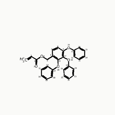 C=CC(=O)OCc1ccc(Oc2ccccc2)c(Oc2ccccc2)c1Oc1ccccc1